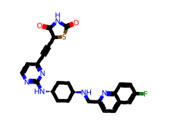 O=C1NC(=O)C(C#Cc2ccnc(N[C@H]3CC[C@H](NCc4ccc5cc(F)ccc5n4)CC3)n2)S1